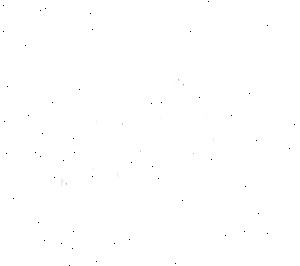 N#Cc1ccc(Oc2ccc(Cl)cc2N)cc1